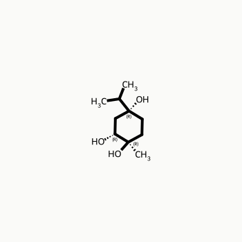 CC(C)[C@@]1(O)CC[C@@](C)(O)[C@H](O)C1